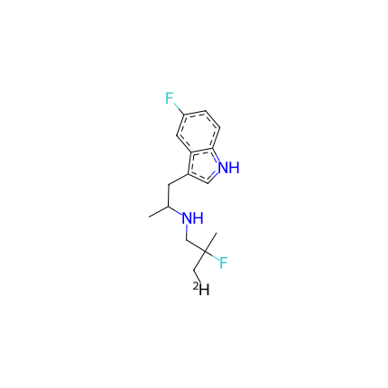 [2H]CC(C)(F)CNC(C)Cc1c[nH]c2ccc(F)cc12